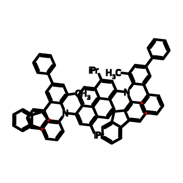 Cc1cc(-c2ccccc2)cc(-c2ccccc2)c1N(c1cccc2c1Cc1ccccc1-2)c1cc(C(C)C)c2ccc3c(N(c4cccc5c4Cc4ccccc4-5)c4c(C)cc(-c5ccccc5)cc4-c4ccccc4)cc(C(C)C)c4ccc1c2c43